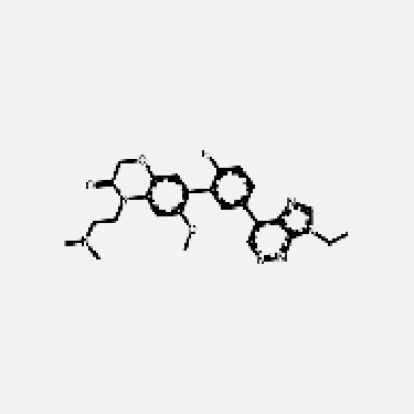 CCn1cnc2c(-c3ccc(F)c(-c4cc5c(cc4OC)N(CCN(C)C)C(=O)CO5)c3)cnnc21